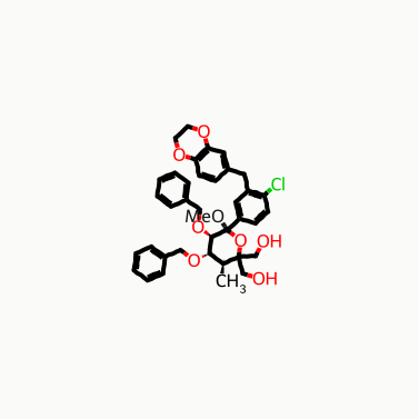 COC1(c2ccc(Cl)c(Cc3ccc4c(c3)OCCO4)c2)OC(CO)(CO)[C@@H](C)[C@H](OCc2ccccc2)[C@H]1OCc1ccccc1